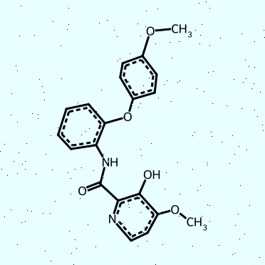 COc1ccc(Oc2ccccc2NC(=O)c2nccc(OC)c2O)cc1